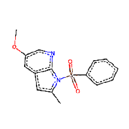 COc1cnc2c(c1)cc(C)n2S(=O)(=O)c1ccccc1